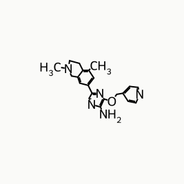 Cc1cc(-c2cnc(N)c(OCc3ccncc3)n2)cc2c1CCN(C)C2